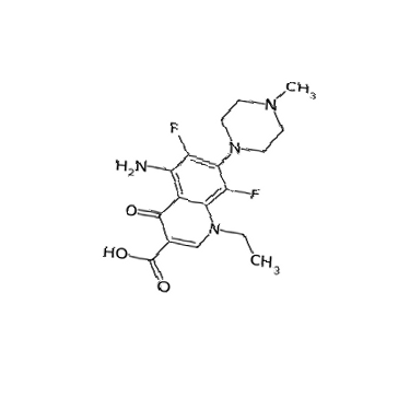 CCn1cc(C(=O)O)c(=O)c2c(N)c(F)c(N3CCN(C)CC3)c(F)c21